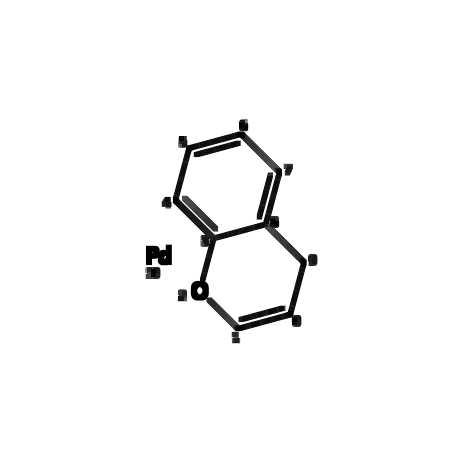 C1=COc2ccccc2C1.[Pd]